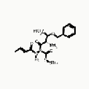 CC=CC(=O)N(CC)N(C(=O)OC(C)(C)C)C(=O)[C@@H](N)C(OCc1ccccc1)C(=O)O